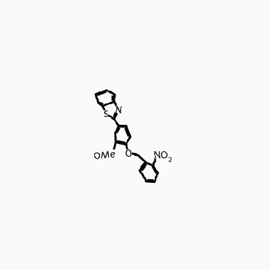 COc1cc(-c2nc3ccccc3s2)ccc1OCc1ccccc1[N+](=O)[O-]